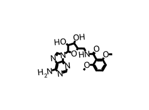 COc1cccc(OC)c1C(=O)NCC1OC(n2cnc3c(N)ncnc32)C(O)C1O